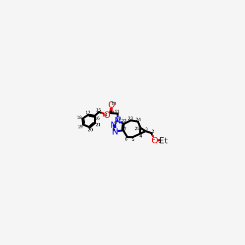 CCOCC1C2CCc3nnn(CC(=O)OCc4ccccc4)c3CCC21